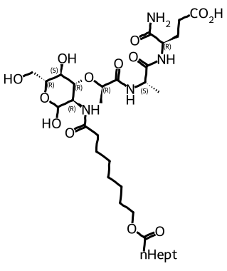 CCCCCCCC(=O)OCCCCCCCC(=O)N[C@H]1C(O)O[C@H](CO)[C@@H](O)[C@@H]1O[C@H](C)C(=O)N[C@@H](C)C(=O)N[C@H](CCC(=O)O)C(N)=O